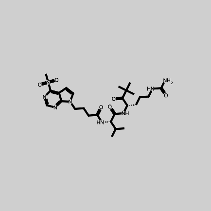 CC(C)[C@H](NC(=O)CCCn1ccc2c(S(C)(=O)=O)ncnc21)C(=O)N[C@@H](CCCNC(N)=O)C(=O)C(C)(C)C